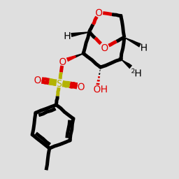 [2H][C@H]1[C@H](O)[C@@H](OS(=O)(=O)c2ccc(C)cc2)[C@@H]2OC[C@H]1O2